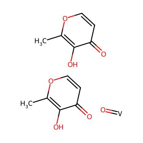 Cc1occc(=O)c1O.Cc1occc(=O)c1O.[O]=[V]